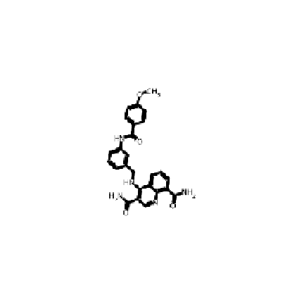 COc1ccc(C(=O)Nc2cccc(CNc3c(C(N)=O)cnc4c(C(N)=O)cccc34)c2)cc1